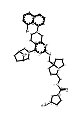 CCc1cccc2cccc(N3CCc4c(nc(OCC56CCCN5C(COC(=O)N5CC[C@@H](OC)C5)CC6)nc4N4CC5CCC(C4)N5)C3)c12